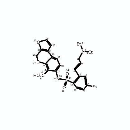 CCN(CC)C/C=C/c1cc(F)ccc1S(=O)(=O)Nc1ccc2c(c1C(=O)O)OCc1occc1-2